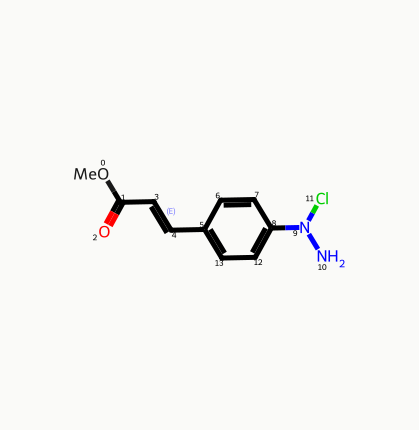 COC(=O)/C=C/c1ccc(N(N)Cl)cc1